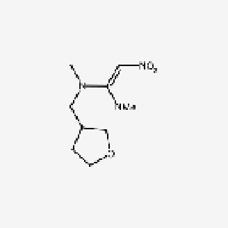 CN/C(=C\[N+](=O)[O-])N(C)CC1CCOC1